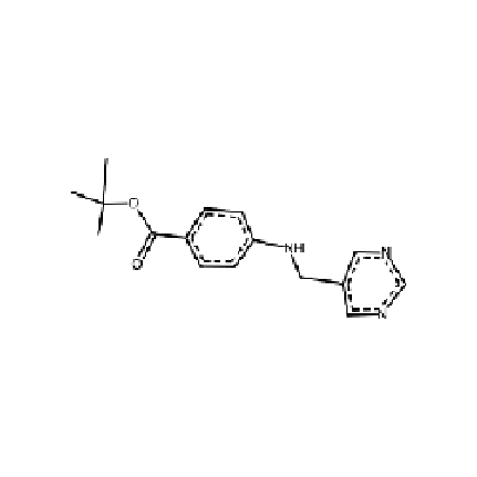 CC(C)(C)OC(=O)c1ccc(NCc2cncnc2)cc1